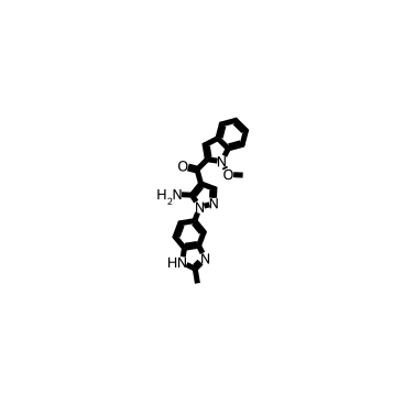 COn1c(C(=O)c2cnn(-c3ccc4[nH]c(C)nc4c3)c2N)cc2ccccc21